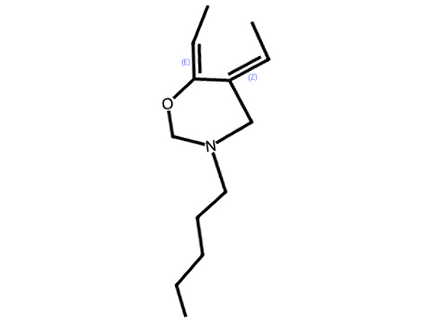 C/C=C1/CN(CCCCC)CO/C1=C/C